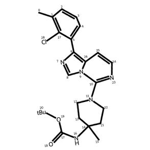 Cc1cccc(-c2ncn3c(N4CCC(C)(NC(=O)OC(C)(C)C)CC4)nccc23)c1Cl